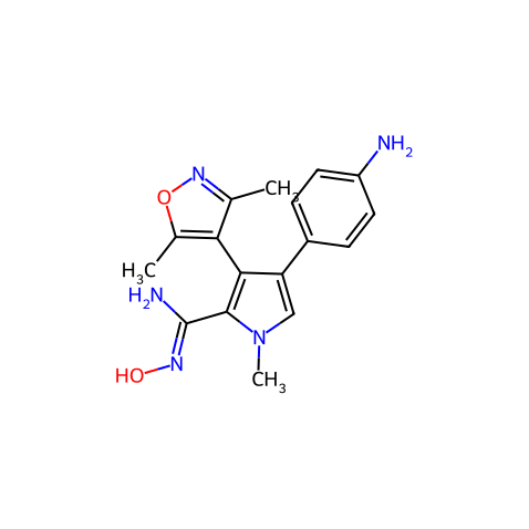 Cc1noc(C)c1-c1c(-c2ccc(N)cc2)cn(C)c1/C(N)=N/O